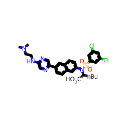 CCCCC(C(=O)O)N(c1ccc2cc(-c3cnc(NCCN(C)C)cn3)ccc2c1)S(=O)(=O)c1cc(Cl)cc(Cl)c1